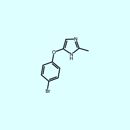 Cc1ncc(Oc2ccc(Br)cc2)[nH]1